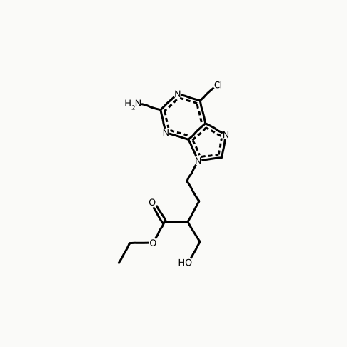 CCOC(=O)C(CO)CCn1cnc2c(Cl)nc(N)nc21